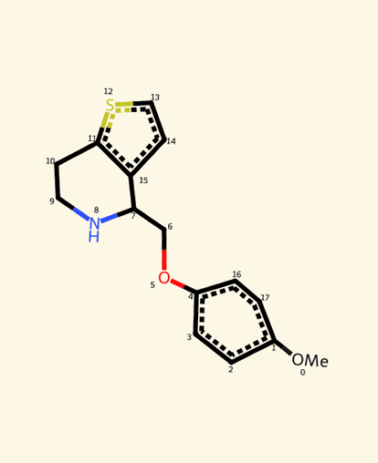 COc1ccc(OCC2NCCc3sccc32)cc1